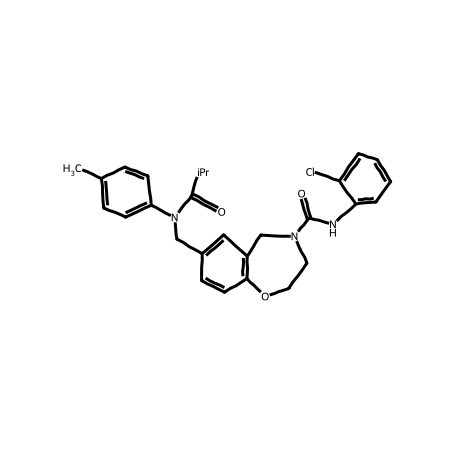 Cc1ccc(N(Cc2ccc3c(c2)CN(C(=O)Nc2ccccc2Cl)CCO3)C(=O)C(C)C)cc1